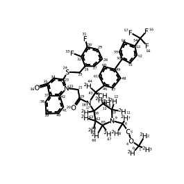 [2H]C([2H])([2H])OCC([2H])([2H])N1C([2H])([2H])C([2H])([2H])C([2H])(N(C(=O)Cn2c(SCc3cccc(F)c3F)cc(=O)c3ccccc32)C([2H])(C)c2ccc(-c3ccc(C(F)(F)F)cc3)cc2)C([2H])([2H])C1([2H])[2H]